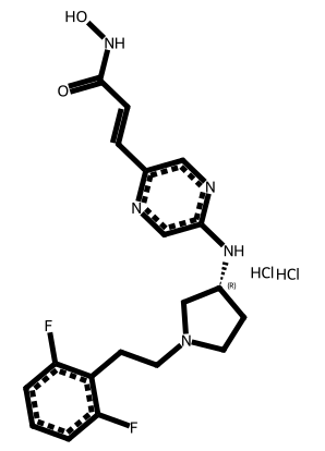 Cl.Cl.O=C(C=Cc1cnc(N[C@@H]2CCN(CCc3c(F)cccc3F)C2)cn1)NO